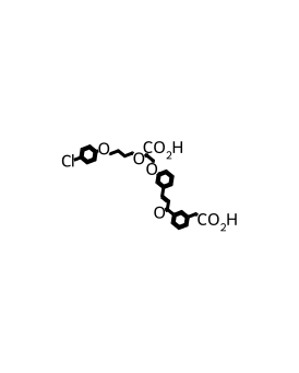 O=C(O)Cc1cccc(C(=O)/C=C/c2cccc(OCC(OCCCCOc3ccc(Cl)cc3)C(=O)O)c2)c1